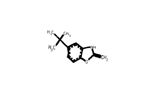 C=C1Nc2cc(C(C)(C)C)ccc2O1